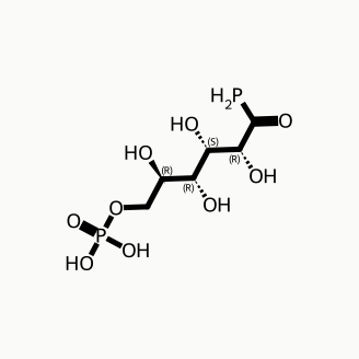 O=C(P)[C@H](O)[C@@H](O)[C@H](O)[C@H](O)COP(=O)(O)O